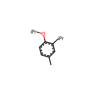 [CH2]C(C)c1cc(C)ccc1OC(C)C